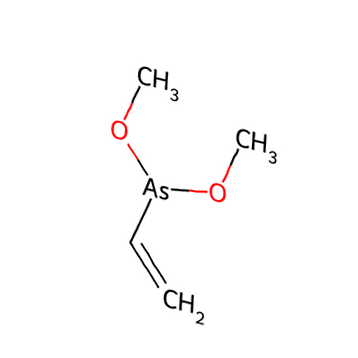 C=C[As](OC)OC